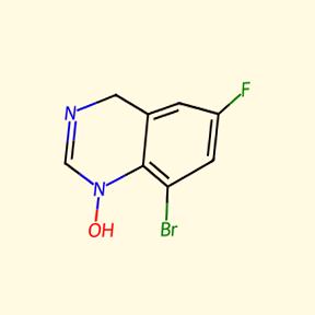 ON1C=NCc2cc(F)cc(Br)c21